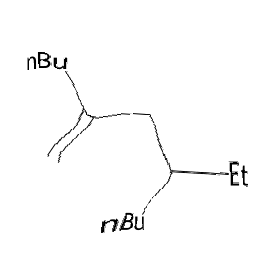 C=C(CCCC)CC(CC)CCCC